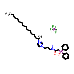 F[P-](F)(F)(F)(F)F.[2H]C(CCCCCCCCCCCCC)[n+]1ccn(CCCNC(=O)CP(=O)(c2ccccc2)c2ccccc2)c1